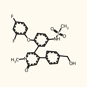 Cn1cc(-c2cc(NS(C)(=O)=O)ccc2Oc2ccc(F)cc2F)c(-c2ccc(CO)cc2)cc1=O